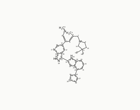 C=N/C=C(\C=C(/C)CN1CCC(F)(F)C1)c1cnc2[nH]nc(-c3cc4c(-c5ccoc5)cccc4[nH]3)c2c1